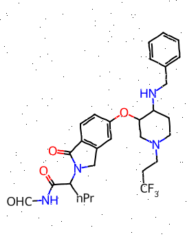 CCCC(C(=O)NC=O)N1Cc2cc(OC3CN(CCC(F)(F)F)CCC3NCc3ccccc3)ccc2C1=O